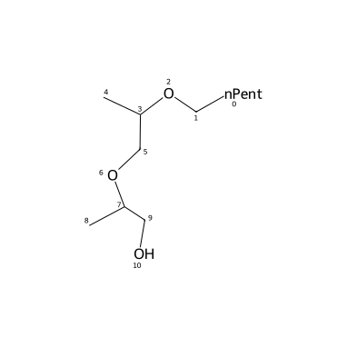 CCCCCCOC(C)COC(C)CO